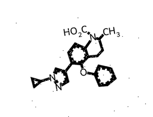 CC1CCc2c(ccc(-c3cnn(C4CC4)c3)c2Oc2ccccc2)N1C(=O)O